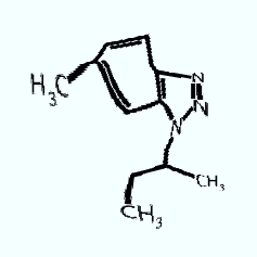 CCC(C)n1nnc2ccc(C)cc21